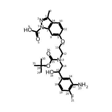 Cc1nn(C(=O)O)c2cc(OCCN(CC(O)c3ccc(F)c(N)c3)C(=O)OC(C)(C)C)ccc12